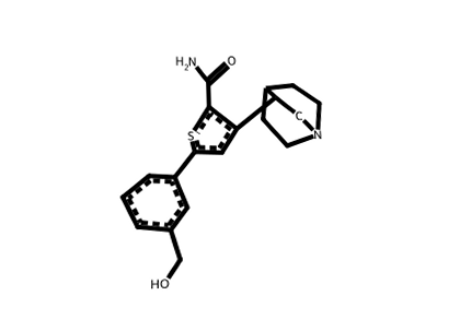 NC(=O)c1sc(-c2cccc(CO)c2)cc1C1CN2CCC1CC2